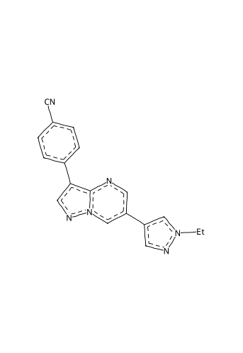 CCn1cc(-c2cnc3c(-c4ccc(C#N)cc4)cnn3c2)cn1